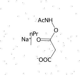 CC(=O)NOC(=O)CC(=O)[O-].CCCC.[Na+]